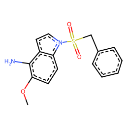 COc1ccc2c(ccn2S(=O)(=O)Cc2ccccc2)c1N